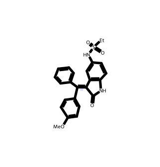 CCS(=O)(=O)Nc1ccc2c(c1)/C(=C(\c1ccccc1)c1ccc(OC)cc1)C(=O)N2